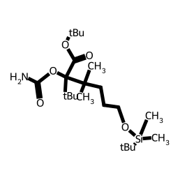 CC(C)(C)OC(=O)C(OC(N)=O)(C(C)(C)C)C(C)(C)CCCO[Si](C)(C)C(C)(C)C